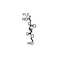 CCC(O)CO[PH](=O)CCC(=O)OCCO